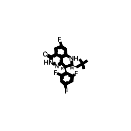 CC(C)(C)C[C@H]1Nc2cc(F)cc3c(=O)[nH]nc(c23)[C@@H]1c1c(F)cc(F)cc1F